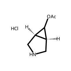 CC(=O)OC1[C@H]2CNC[C@@H]12.Cl